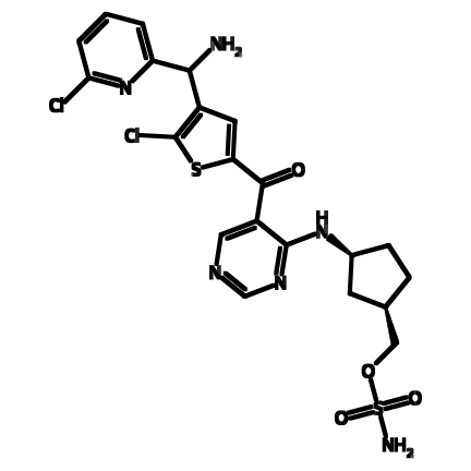 NC(c1cccc(Cl)n1)c1cc(C(=O)c2cncnc2N[C@H]2CC[C@@H](COS(N)(=O)=O)C2)sc1Cl